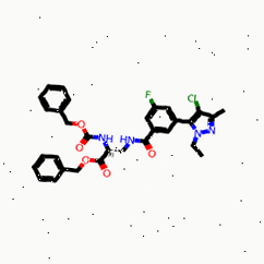 CCn1nc(C)c(Cl)c1-c1cc(F)cc(C(=O)NC[C@@H](NC(=O)OCc2ccccc2)C(=O)OCc2ccccc2)c1